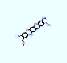 COCc1cc(/N=C2/C=C(Nc3ccc(N)c(COC)c3)C(=O)C=C2O)ccc1N